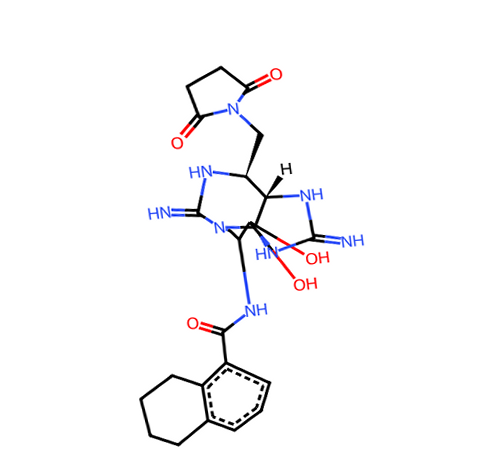 N=C1N[C@H]2[C@H](CN3C(=O)CCC3=O)NC(=N)N3CC(NC(=O)c4cccc5c4CCCC5)C(O)(O)[C@]23N1